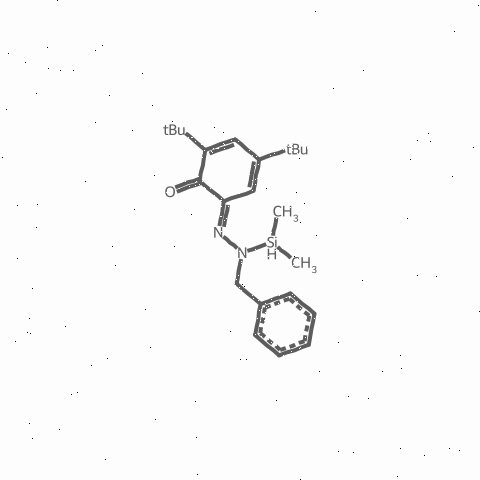 C[SiH](C)N(Cc1ccccc1)N=C1C=C(C(C)(C)C)C=C(C(C)(C)C)C1=O